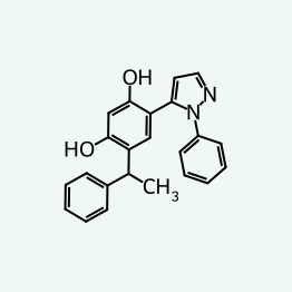 CC(c1ccccc1)c1cc(-c2ccnn2-c2ccccc2)c(O)cc1O